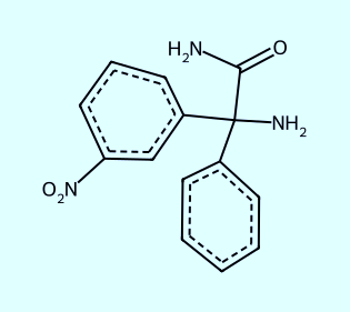 NC(=O)C(N)(c1ccccc1)c1cccc([N+](=O)[O-])c1